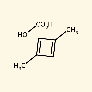 CC1=CC(C)=C1.O=C(O)O